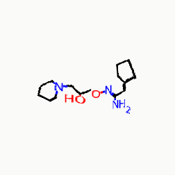 NC(C=C1CCCCC1)=NOCC(O)CN1CCCCC1